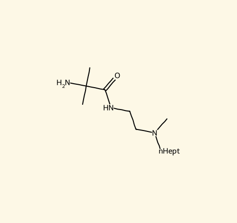 CCCCCCCN(C)CCNC(=O)C(C)(C)N